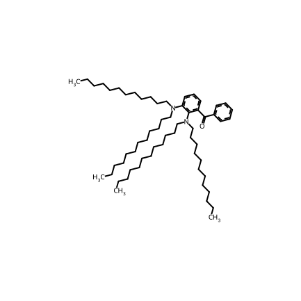 CCCCCCCCCCCCN(CCCCCCCCCCCC)c1cccc(C(=O)c2ccccc2)c1N(CCCCCCCCCCCC)CCCCCCCCCCCC